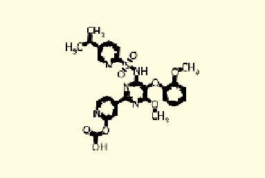 COc1ccccc1Oc1c(NS(=O)(=O)c2ccc(C(C)C)cn2)nc(-c2ccnc(OC(=O)O)c2)nc1OC